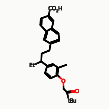 CCC(CCc1ccc2cc(C(=O)O)ccc2c1)c1ccc(OCC(=O)C(C)(C)C)c(C)c1